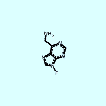 NCc1ncnc2c1ncn2F